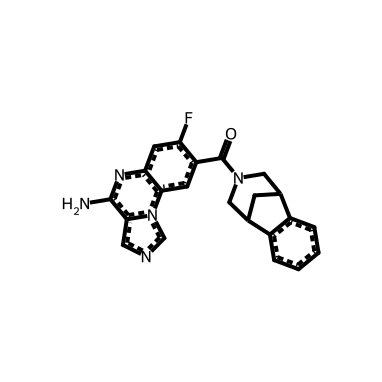 Nc1nc2cc(F)c(C(=O)N3CC4CC(C3)c3ccccc34)cc2n2cncc12